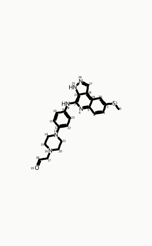 CSc1ccc2nc(Nc3ccc(N4CCN(CC=O)CC4)cc3)c3[nH]ncc3c2c1